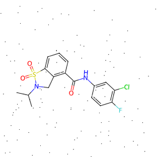 CC(C)N1Cc2c(C(=O)Nc3ccc(F)c(Cl)c3)cccc2S1(=O)=O